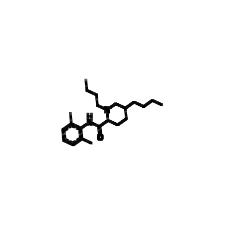 CCCCC1CCC(C(=O)Nc2c(C)cccc2C)N(CCCC)C1